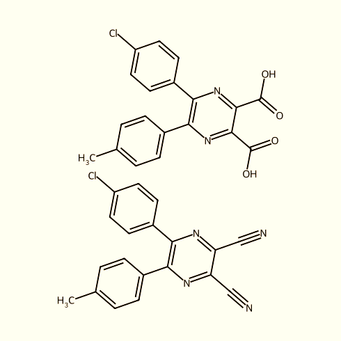 Cc1ccc(-c2nc(C#N)c(C#N)nc2-c2ccc(Cl)cc2)cc1.Cc1ccc(-c2nc(C(=O)O)c(C(=O)O)nc2-c2ccc(Cl)cc2)cc1